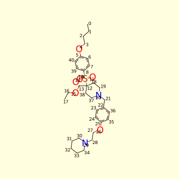 CCCCOc1ccc(S(=O)(=O)C2(C(=O)OCC)CCN(Cc3ccc(OCCN4CCCCC4)cc3)CC2)cc1